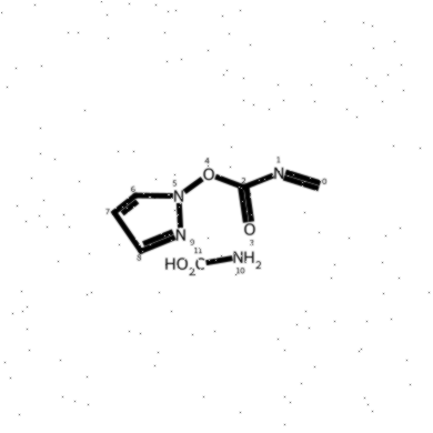 C=NC(=O)On1cccn1.NC(=O)O